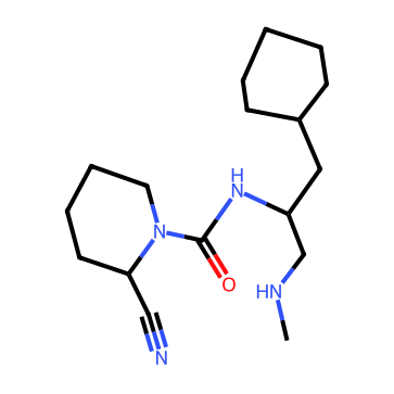 CNCC(CC1CCCCC1)NC(=O)N1CCCCC1C#N